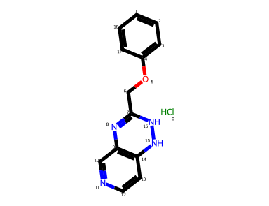 Cl.c1ccc(OCC2=Nc3cnccc3NN2)cc1